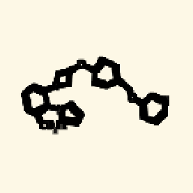 CCOC(=O)c1cccc(N2CC(Oc3ccc(COc4cccnc4)cc3)C2)c1-n1cccc1